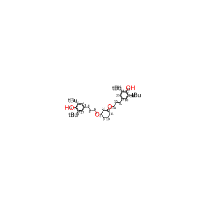 CC(C)(C)c1cc(CCCOC2CCCC(OCCCc3cc(C(C)(C)C)c(O)c(C(C)(C)C)c3)C2)cc(C(C)(C)C)c1O